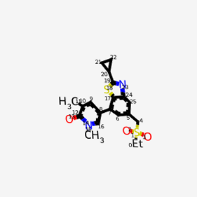 CCS(=O)(=O)Cc1cc(-c2cc(C)c(=O)n(C)c2)c2sc(C3CC3)nc2c1